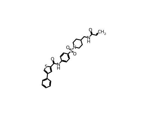 C=CC(=O)NCC1CCN(S(=O)(=O)c2ccc(NC(=O)c3cc(-c4ccccc4)cs3)cc2)CC1